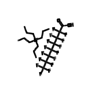 CCC[N+](CCC)(CCC)CCC.O=C(O)C(F)(F)C(F)(F)C(F)(F)C(F)(F)C(F)(F)C(F)(F)C(F)(F)F